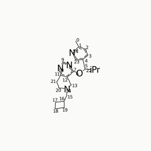 Cc1ccc(C(Oc2ncnc3c2CN(CC2CCC2)CC3)C(C)C)cn1